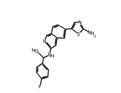 Nc1ncc(-c2ccc3cnc(NC(O)c4ccc(F)cc4)cc3c2)s1